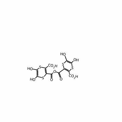 O=C(O)C1=C(C(=O)OC(=O)C2=C(C(=O)O)SC(O)=C(O)S2)SC(O)=C(O)S1